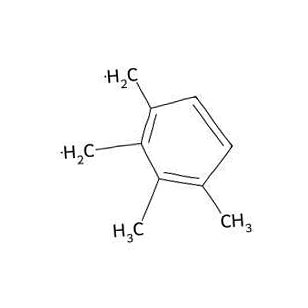 [CH2]c1ccc(C)c(C)c1[CH2]